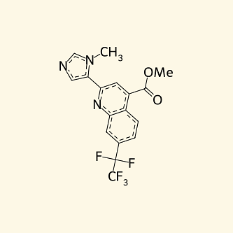 COC(=O)c1cc(-c2cncn2C)nc2cc(C(F)(F)C(F)(F)F)ccc12